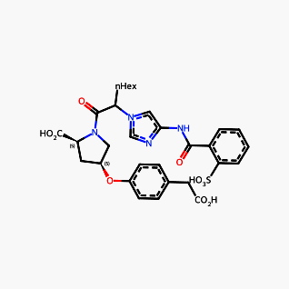 CCCCCCC(C(=O)N1C[C@@H](Oc2ccc(CC(=O)O)cc2)C[C@H]1C(=O)O)n1cnc(NC(=O)c2ccccc2S(=O)(=O)O)c1